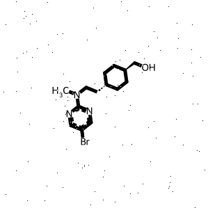 CN(CC[C@H]1CC[C@H](CO)CC1)c1ncc(Br)cn1